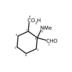 CNC1(C=O)CCCCC1C(=O)O